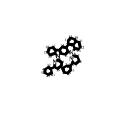 c1ccc(-c2cccc(N3c4cc5c(cc4-c4cccc6cccc3c46)c3ccccc3n5-c3cccc(-c4ccccc4)n3)n2)cc1